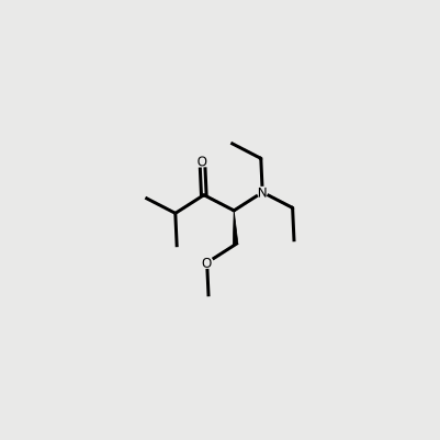 CCN(CC)[C@@H](COC)C(=O)C(C)C